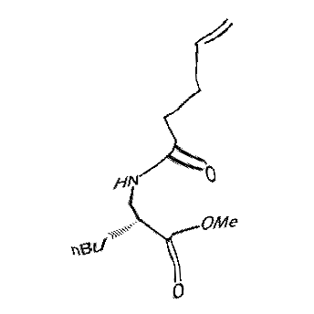 C=CCCC(=O)N[C@@H](CCCC)C(=O)OC